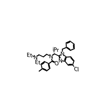 CCN(CC)CCCN(C(=O)c1ccc(C)cc1)[C@@H](c1nc2cc(Cl)ccc2n1Cc1ccccc1)C(C)C